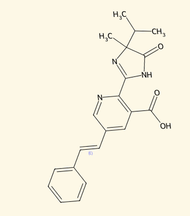 CC(C)C1(C)N=C(c2ncc(/C=C/c3ccccc3)cc2C(=O)O)NC1=O